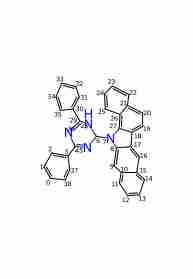 c1ccc(C2=NC(n3c4cc5ccccc5cc4c4ccc5ccccc5c43)NC(c3ccccc3)=N2)cc1